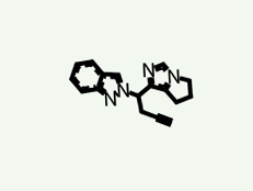 C#CCC(c1ncn2c1CCC2)n1cc2ccccc2n1